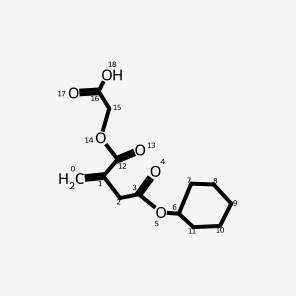 C=C(CC(=O)OC1CCCCC1)C(=O)OCC(=O)O